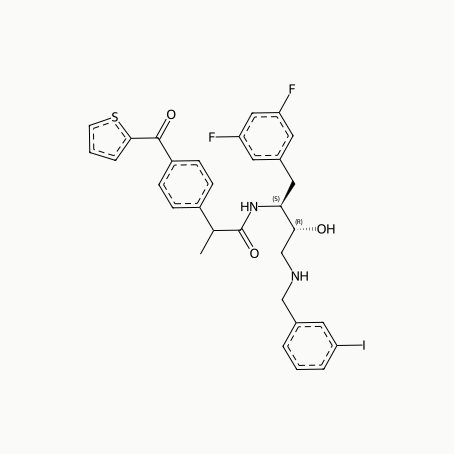 CC(C(=O)N[C@@H](Cc1cc(F)cc(F)c1)[C@H](O)CNCc1cccc(I)c1)c1ccc(C(=O)c2cccs2)cc1